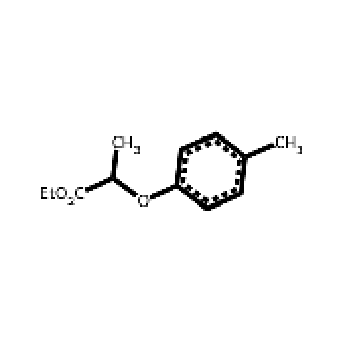 CCOC(=O)C(C)Oc1ccc(C)cc1